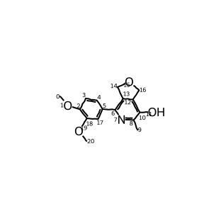 COc1ccc(-c2nc(C)c(O)c3c2COC3)cc1OC